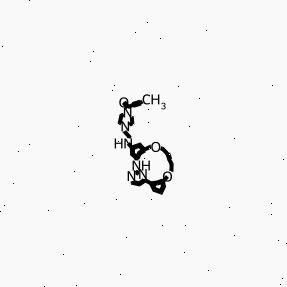 CC#CC(=O)N1CCN(CCNc2cc3cc(c2)Nc2nccc(n2)-c2cccc(c2)OCC/C=C/COC3)CC1